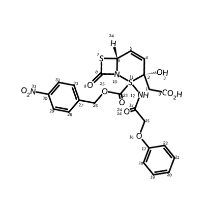 O=C(O)C[C@]1(O)C=C[C@H]2SC(=O)N2S1(NC(=O)COc1ccccc1)C(=O)OCc1ccc([N+](=O)[O-])cc1